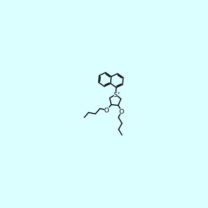 CCCCOC1C[S+](c2cccc3ccccc23)CC1OCCCC